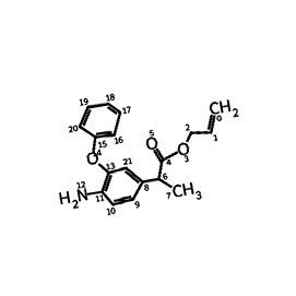 C=CCOC(=O)C(C)c1ccc(N)c(Oc2ccccc2)c1